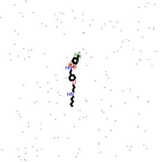 CCCCCNCCCCOC1CCC(CCNS(=O)(=O)c2ccc(C(F)(F)F)cc2)CC1